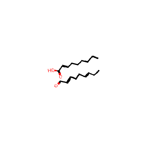 CCC=CCCC=CC=O.CCCCCC/C=C/C(=O)O